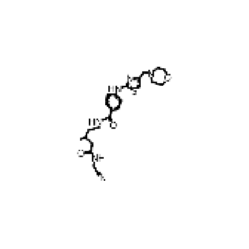 CC(CCNC(=O)c1ccc(Nc2nc(CN3CCOCC3)cs2)cc1)CC(=O)NCC#N